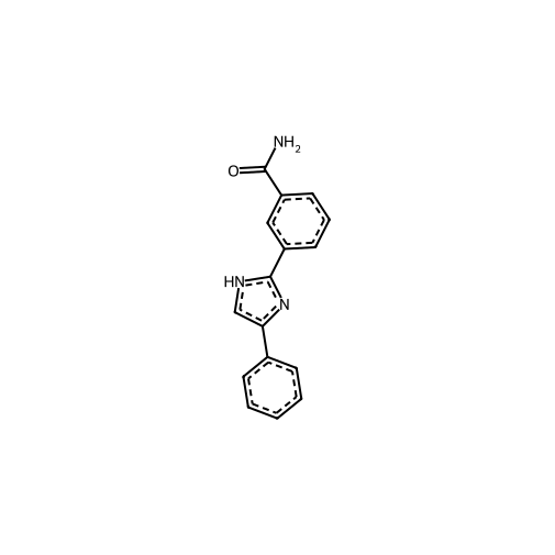 NC(=O)c1cccc(-c2nc(-c3ccccc3)c[nH]2)c1